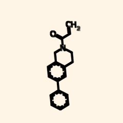 C=CC(=O)N1CCc2cc(-c3ccccc3)ccc2C1